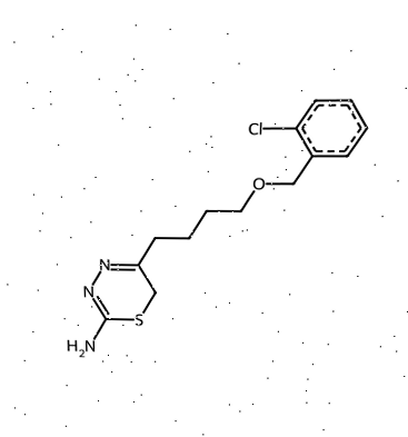 NC1=NN=C(CCCCOCc2ccccc2Cl)CS1